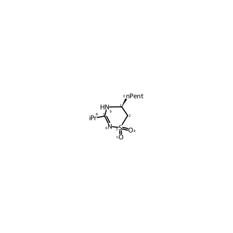 CCCCC[C@H]1CS(=O)(=O)N=C(C(C)C)N1